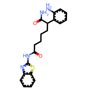 NC(=O)C(CCCCC(=O)Nc1nc2ccccc2s1)c1ccccc1N